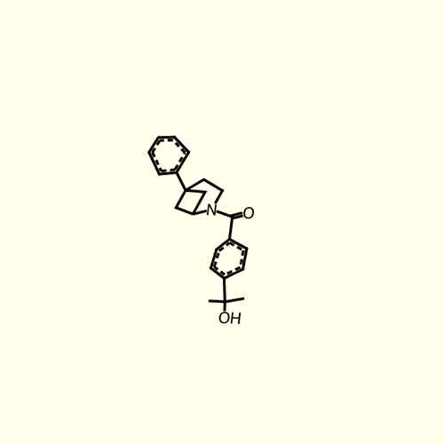 CC(C)(O)c1ccc(C(=O)N2CCC3(c4ccccc4)CC2C3)cc1